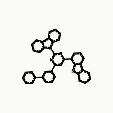 c1ccc(-c2cccc(-c3cc(-c4cccc5c4sc4ccccc45)nc(-n4c5ccccc5c5ccccc54)n3)c2)cc1